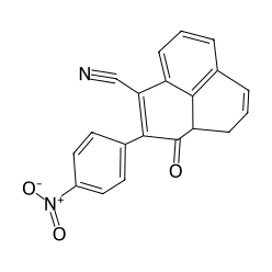 N#CC1=C(c2ccc([N+](=O)[O-])cc2)C(=O)C2CC=Cc3cccc1c32